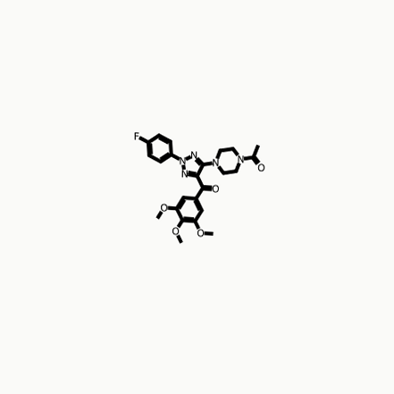 COc1cc(C(=O)c2nn(-c3ccc(F)cc3)nc2N2CCN(C(C)=O)CC2)cc(OC)c1OC